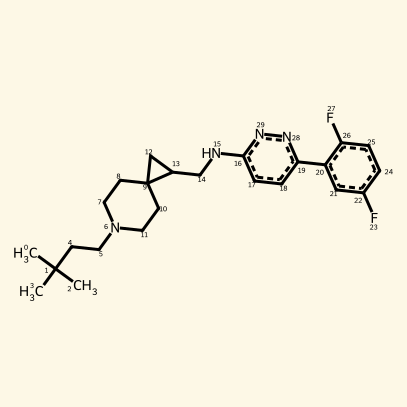 CC(C)(C)CCN1CCC2(CC1)CC2CNc1ccc(-c2cc(F)ccc2F)nn1